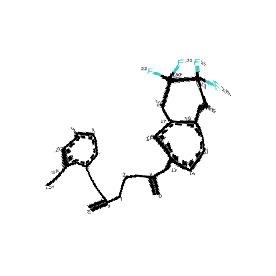 C=C(CCC(=C)c1ccccc1C)c1ccc2c(c1)CC(F)(F)C(F)(F)C2